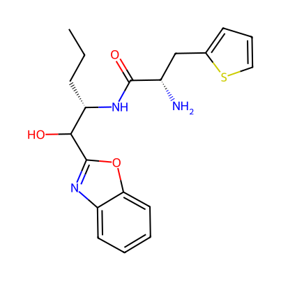 CCC[C@H](NC(=O)[C@@H](N)Cc1cccs1)C(O)c1nc2ccccc2o1